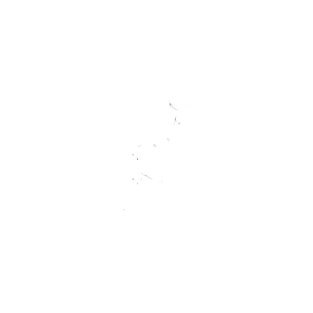 CCCNC(=O)C(CCCCNC(C)=O)N(C)C